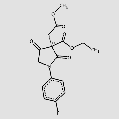 CCOC(=O)[C@]1(CC(=O)OC)C(=O)CN(c2ccc(F)cc2)C1=O